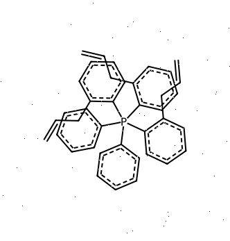 C=CCc1ccccc1P(c1ccccc1)(c1ccccc1)(c1ccccc1CC=C)c1ccccc1CC=C